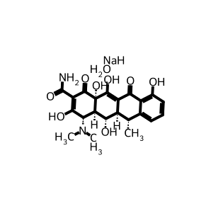 C[C@H]1c2cccc(O)c2C(=O)C2=C(O)[C@]3(O)C(=O)C(C(N)=O)=C(O)[C@@H](N(C)C)[C@@H]3[C@@H](O)[C@@H]21.O.[NaH]